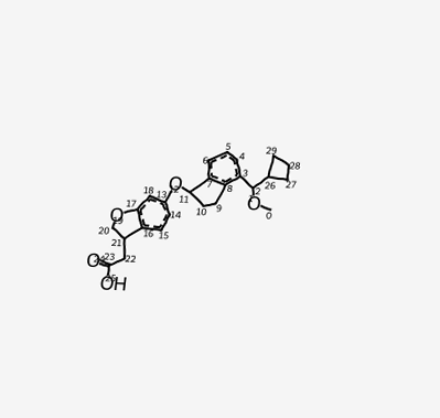 COC(c1cccc2c1CCC2Oc1ccc2c(c1)OCC2CC(=O)O)C1CCC1